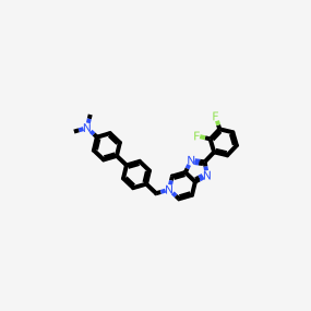 CN(C)c1ccc(-c2ccc(Cn3ccc4nc(-c5cccc(F)c5F)nc-4c3)cc2)cc1